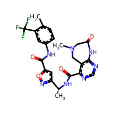 Cc1ccc(NC(=O)c2cc([C@@H](C)NC(=O)c3ncnc4c3CN(C)CC(=O)N4)no2)cc1C(F)(F)F